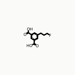 O=C(O)c1cc(CCCF)cc(C(=O)O)c1